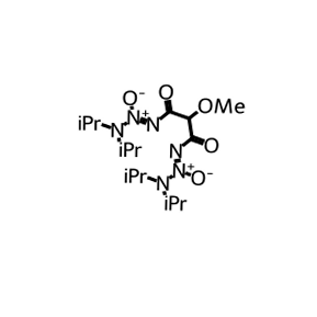 COC(C(=O)N=[N+]([O-])N(C(C)C)C(C)C)C(=O)N=[N+]([O-])N(C(C)C)C(C)C